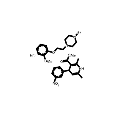 CCN1CCN(CCOc2ccccc2OC)CC1.COC(=O)C1=C(C)NC(C)=CC1c1cccc([N+](=O)[O-])c1.Cl